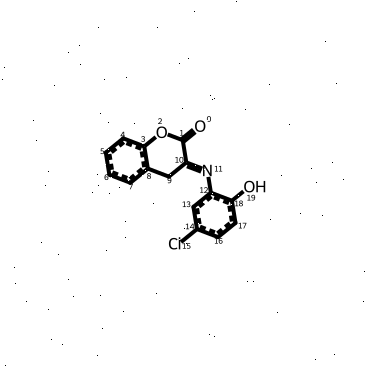 O=C1Oc2ccccc2CC1=Nc1cc(Cl)ccc1O